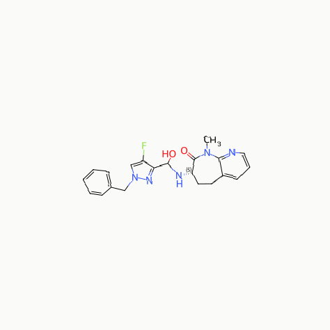 CN1C(=O)[C@@H](NC(O)c2nn(Cc3ccccc3)cc2F)CCc2cccnc21